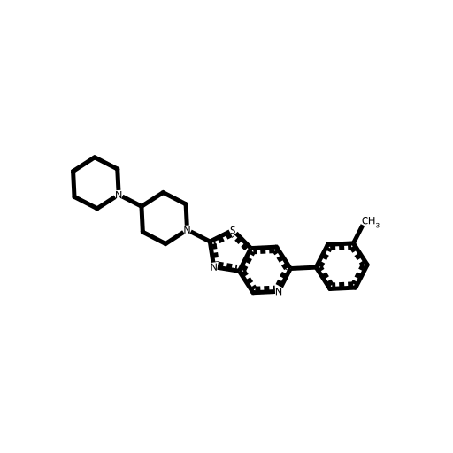 Cc1cccc(-c2cc3sc(N4CCC(N5CCCCC5)CC4)nc3cn2)c1